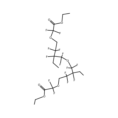 CCOC(=O)C(F)(F)OCC(F)(F)C(F)(CC)C(F)(F)OC(F)(F)C(F)(CC)C(F)(F)COC(F)(F)C(=O)OCC